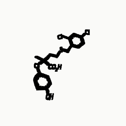 CC(CCSCc1ccc(Cl)cc1Cl)(Oc1ccc(O)cc1)C(=O)O